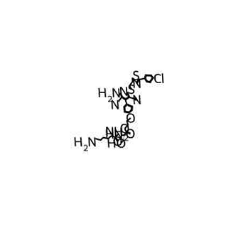 N#Cc1c(N)nc(SCc2csc(-c3ccc(Cl)cc3)n2)c(C#N)c1-c1ccc(OCCOC(=O)[C@H](CO)NC(=O)[C@@H](N)CCCCN)cc1